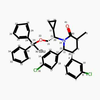 CC1C[C@H](c2cccc(Cl)c2)[C@@H](c2ccc(Cl)cc2)N([C@H](CO[Si](c2ccccc2)(c2ccccc2)C(C)(C)C)C2CC2)C1=O